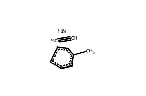 Br.C#C.Cc1ccccc1